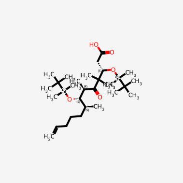 C=CCCC[C@H](C)[C@H](O[Si](C)(C)C(C)(C)C)[C@@H](C)C(=O)C(C)(C)[C@H](CC(=O)O)O[Si](C)(C)C(C)(C)C